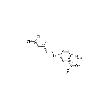 C/C(C=C(Cl)Cl)=C\COc1ccc(N)c([N+](=O)[O-])c1